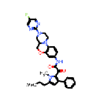 COCCc1cc(-c2ccccc2)c(C(=O)C(=O)Nc2ccc3c(c2)OCC2CN(c4ncc(F)cn4)CCN32)n1C